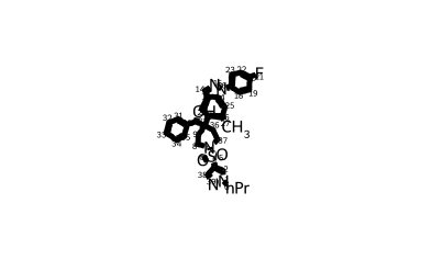 CCCn1cc(S(=O)(=O)N2CCC(c3cc4cnn(-c5ccc(F)cc5)c4cc3C)(C(O)c3ccccc3)CC2)cn1